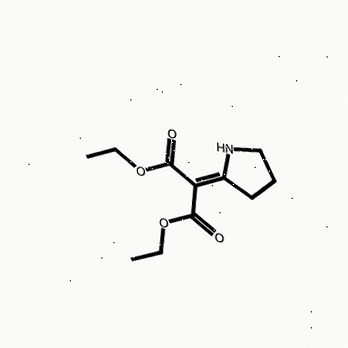 CCOC(=O)C(C(=O)OCC)=C1CCCN1